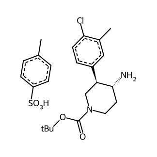 Cc1cc([C@@H]2CN(C(=O)OC(C)(C)C)CC[C@H]2N)ccc1Cl.Cc1ccc(S(=O)(=O)O)cc1